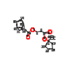 CCC1(OC(=O)CCOC(=O)C2CC3C=CC2C3)CCCC1